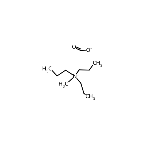 CCC[N+](C)(CCC)CCC.O=C[O-]